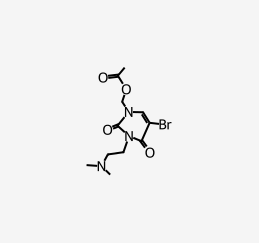 CC(=O)OCn1cc(Br)c(=O)n(CCN(C)C)c1=O